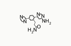 NC(=O)CCc1cc(-c2cnccn2)ccc1-c1cc(N)ncn1